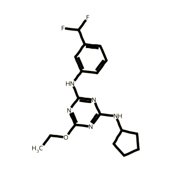 CCOc1nc(Nc2cccc(C(F)F)c2)nc(NC2CCCC2)n1